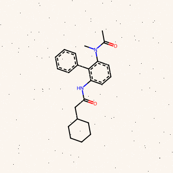 CC(=O)N(C)c1cc[c]c(NC(=O)CC2CCCCC2)c1-c1ccccc1